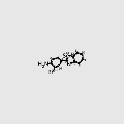 Nc1ccc(-c2nc3ccccc3[se]2)cc1Br